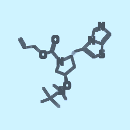 C=CCOC(=O)N1C[C@H](O[Si](C)(C)C(C)(C)C)C[C@H]1Cc1csc2cncn12